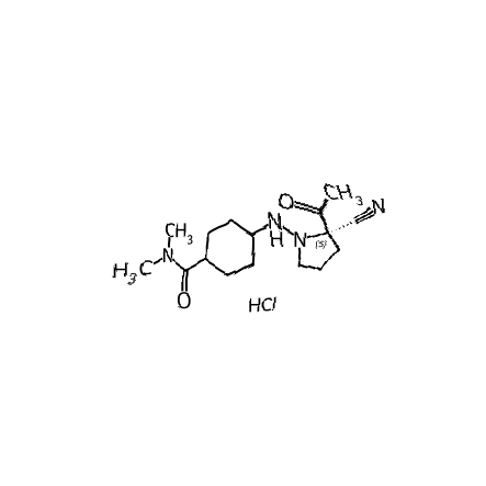 CC(=O)[C@@]1(C#N)CCCN1NC1CCC(C(=O)N(C)C)CC1.Cl